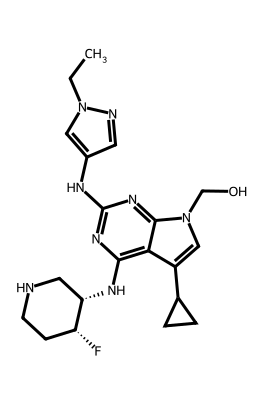 CCn1cc(Nc2nc(N[C@H]3CNCC[C@H]3F)c3c(C4CC4)cn(CO)c3n2)cn1